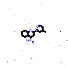 CNc1cc(-c2cc(C)ccn2)nc2ccccc12